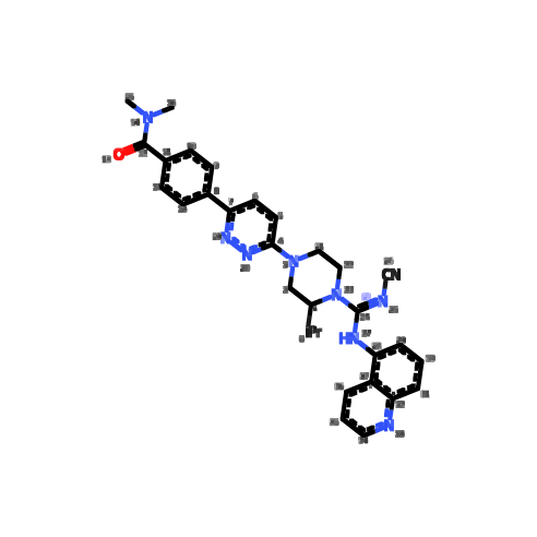 CC(C)C1CN(c2ccc(-c3ccc(C(=O)N(C)C)cc3)nn2)CCN1/C(=N\C#N)Nc1cccc2ncccc12